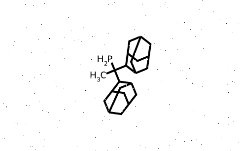 CC(P)(C1C2CC3CC(C2)CC1C3)C1C2CC3CC(C2)CC1C3